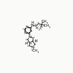 CN1C[C@@H]2CN(c3cc(NCCC(C)(C)C)ncn3)C[C@@H]2C1